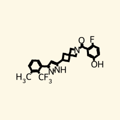 Cc1cccc(-c2cc(C3CC4(C3)CN(C(=O)c3cc(O)ccc3F)C4)[nH]n2)c1C(F)(F)F